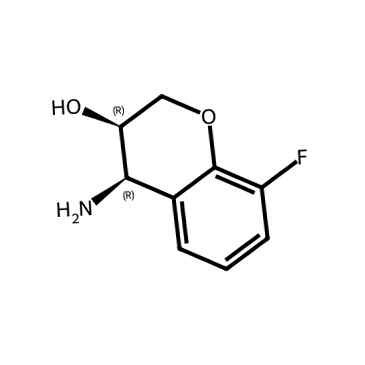 N[C@@H]1c2cccc(F)c2OC[C@@H]1O